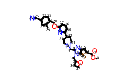 COC(=O)c1cc2nc(CN3CCC(c4cccc(OCc5ccc(C#N)cc5C)n4)CC3)n(CC3CCO3)c2s1